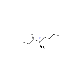 C=C(CC)/C(N)=C/CCC